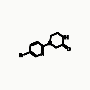 O=C1CN(c2ccc(Br)cn2)CCN1